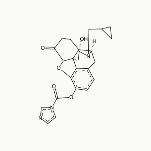 O=C1CC[C@@]2(O)[C@H]3Cc4ccc(OC(=O)n5ccnc5)c5c4[C@@]2(CCN3CC2CC2)C1O5